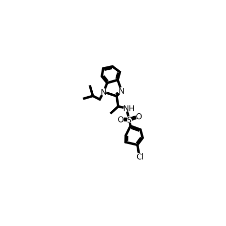 CC(C)Cn1c(C(C)NS(=O)(=O)c2ccc(Cl)cc2)nc2ccccc21